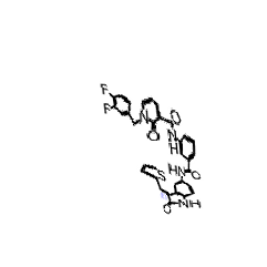 O=C1Nc2ccc(NC(=O)c3cccc(NC(=O)c4cccn(Cc5ccc(F)c(F)c5)c4=O)c3)cc2/C1=C\c1cccs1